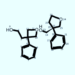 OCCC1(c2ccccc2)COC1.OC[C@@]1(c2ccccc2)CCOC1